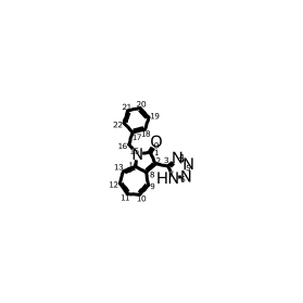 O=c1c(-c2nnn[nH]2)c2cccccc-2n1Cc1ccccc1